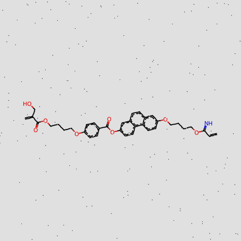 C=CC(=N)OCCCCOc1ccc2c(ccc3cc(OC(=O)c4ccc(OCCCCOC(=O)C(=C)CO)cc4)ccc32)c1